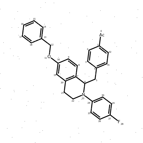 CC(=O)c1ccc(CC2c3ccc(OCc4ccccc4)cc3CCN2c2ccc(F)cc2)cc1